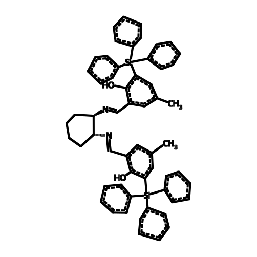 Cc1cc(/C=N/[C@@H]2CCCC[C@H]2/N=C/c2cc(C)cc([Si](c3ccccc3)(c3ccccc3)c3ccccc3)c2O)c(O)c([Si](c2ccccc2)(c2ccccc2)c2ccccc2)c1